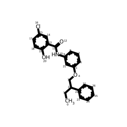 CCC(COc1cccc(NC(=O)c2cc(Cl)ccc2O)c1)c1ccccc1